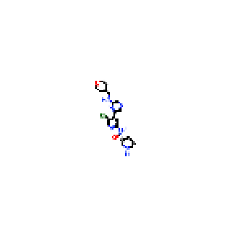 C[C@@H]1CNC[C@H](C(=O)Nc2cc(-c3cncc(NCC4CCOCC4)n3)c(Cl)cn2)C1